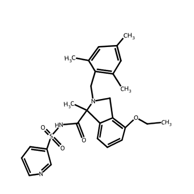 CCOc1cccc2c1CN(Cc1c(C)cc(C)cc1C)C2(C)C(=O)NS(=O)(=O)c1cccnc1